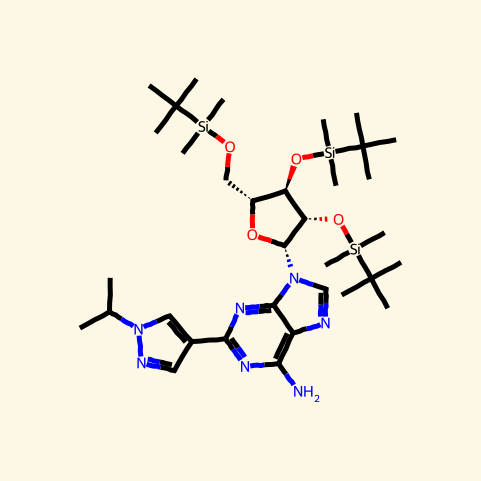 CC(C)n1cc(-c2nc(N)c3ncn([C@@H]4O[C@H](CO[Si](C)(C)C(C)(C)C)[C@@H](O[Si](C)(C)C(C)(C)C)[C@@H]4O[Si](C)(C)C(C)(C)C)c3n2)cn1